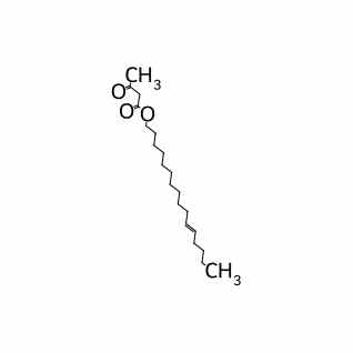 CCCCC=CCCCCCCCCCCOC(=O)CC(C)=O